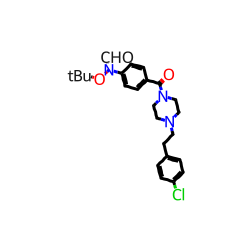 CC(C)(C)ON(C=O)c1ccc(C(=O)N2CCN(CCc3ccc(Cl)cc3)CC2)cc1